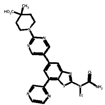 CCN(C(N)=O)c1nc2cc(-c3cnc(N4CCC(C)(C(=O)O)CC4)nc3)cc(-c3cnccn3)c2s1